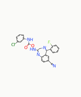 N#Cc1ccc2c(c1)C(c1ccccc1F)=NCC(NOC(=O)Nc1cccc(Cl)c1)=N2